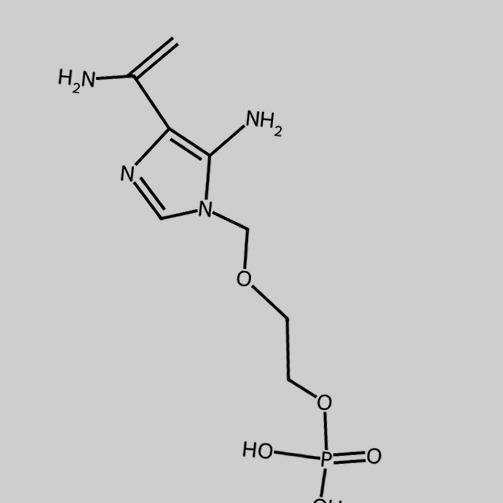 C=C(N)c1ncn(COCCOP(=O)(O)O)c1N